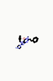 CC#CCn1c(N2CCNCC2)nc2nc(CCc3ccccc3)n(C)c(=O)c21